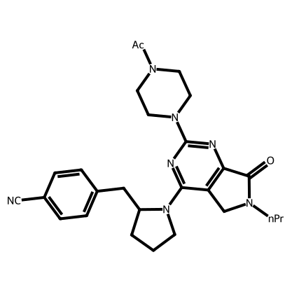 CCCN1Cc2c(nc(N3CCN(C(C)=O)CC3)nc2N2CCCC2Cc2ccc(C#N)cc2)C1=O